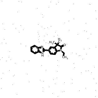 CCN1C(=O)C(C)(C)c2cc(-c3nc4ccccc4[nH]3)ccc21